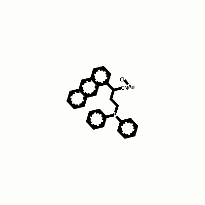 N#CC(CCP(c1ccccc1)c1ccccc1)c1cccc2cc3ccccc3cc12.[Cl][Au]